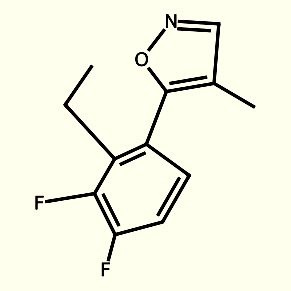 CCc1c(-c2oncc2C)ccc(F)c1F